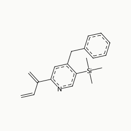 C=CC(=C)c1cc(Cc2ccccc2)c([Si](C)(C)C)cn1